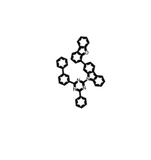 c1ccc(-c2cccc(-c3nc(-c4ccccc4)nc(-n4c5ccccc5c5ccc(-c6cccc7c6oc6ccccc67)cc54)n3)c2)cc1